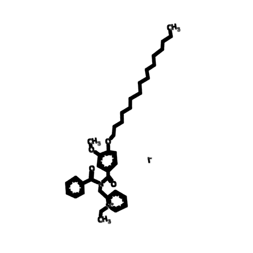 CCCCCCCCCCCCCCCCOc1ccc(C(=O)N(Cc2cccc[n+]2CC)C(=O)c2ccccc2)cc1OC.[I-]